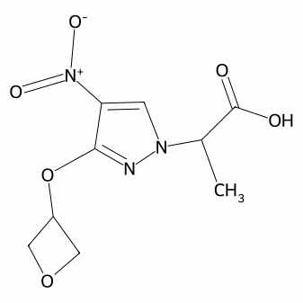 CC(C(=O)O)n1cc([N+](=O)[O-])c(OC2COC2)n1